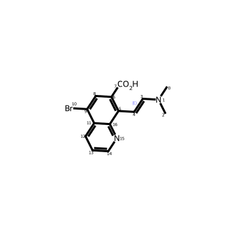 CN(C)/C=C/c1c(C(=O)O)cc(Br)c2cccnc12